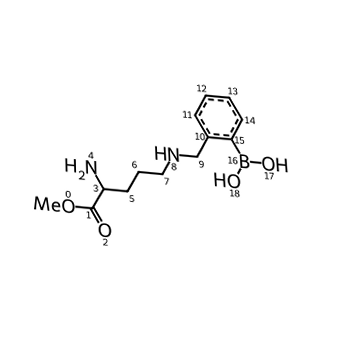 COC(=O)C(N)CCCNCc1ccccc1B(O)O